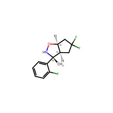 C[C@@]1(c2ccccc2F)NO[C@H]2CC(F)(F)C[C@H]21